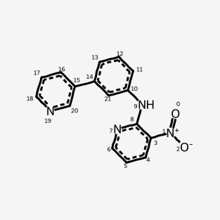 O=[N+]([O-])c1cccnc1Nc1cccc(-c2cccnc2)c1